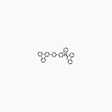 c1ccc2c(c1)cc(-n1c3ccccc3c3cc(-c4ccc(-c5ccc6c7ccccc7c7ccccc7c6c5)cc4)ccc31)c1ccccc12